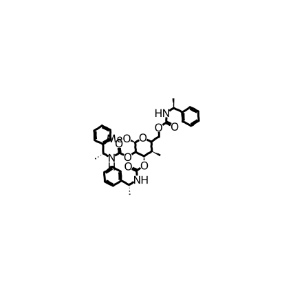 CO[C@H]1OC(COC(=O)N[C@@H](C)c2ccccc2)[C@@H](C)[C@H](OC(=O)N[C@H](C)c2ccccc2)C1OC(=O)N[C@H](C)c1ccccc1